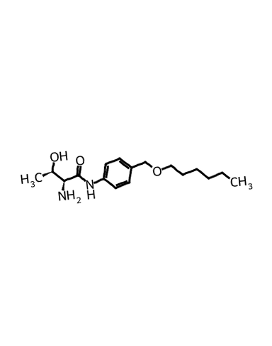 CCCCCCOCc1ccc(NC(=O)[C@@H](N)[C@@H](C)O)cc1